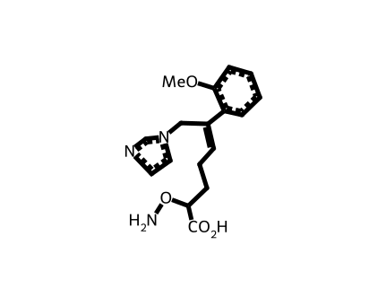 COc1ccccc1/C(=C/CCC(ON)C(=O)O)Cn1ccnc1